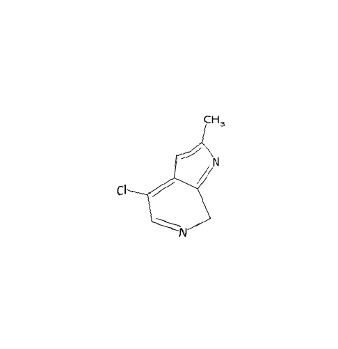 CC1=CC2=C(Cl)C=NCC2=N1